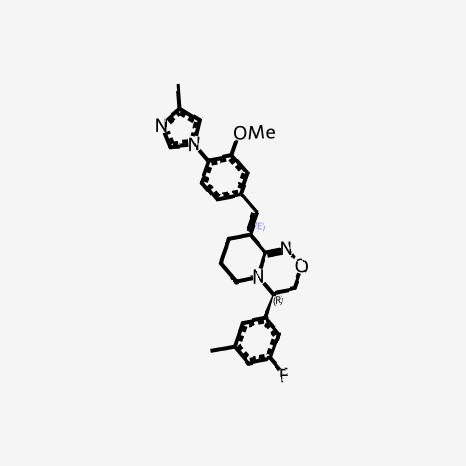 COc1cc(/C=C2\CCCN3C2=NOC[C@H]3c2cc(C)cc(F)c2)ccc1-n1cnc(C)c1